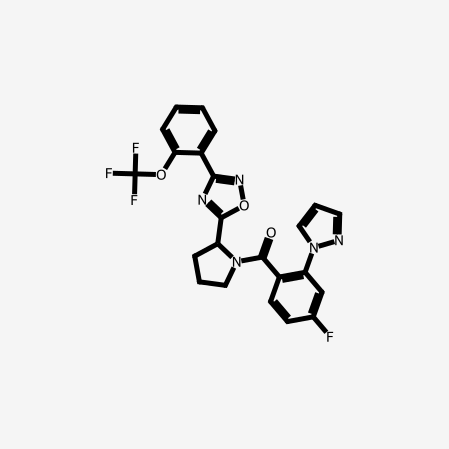 O=C(c1ccc(F)cc1-n1cccn1)N1CCCC1c1nc(-c2ccccc2OC(F)(F)F)no1